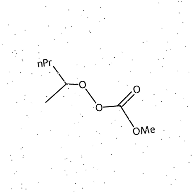 CCCC(C)OOC(=O)OC